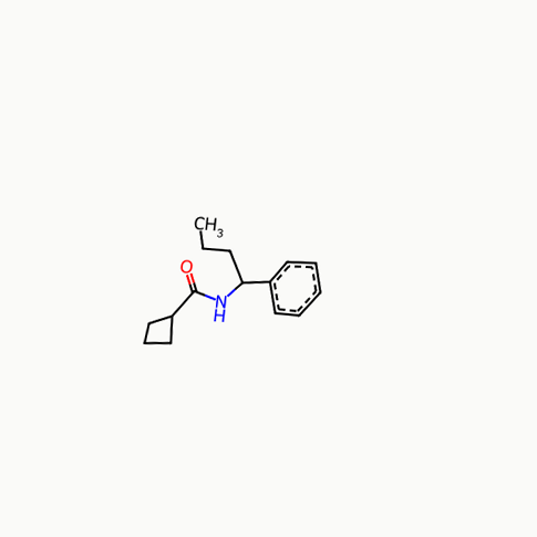 CCCC(NC(=O)C1CCC1)c1ccccc1